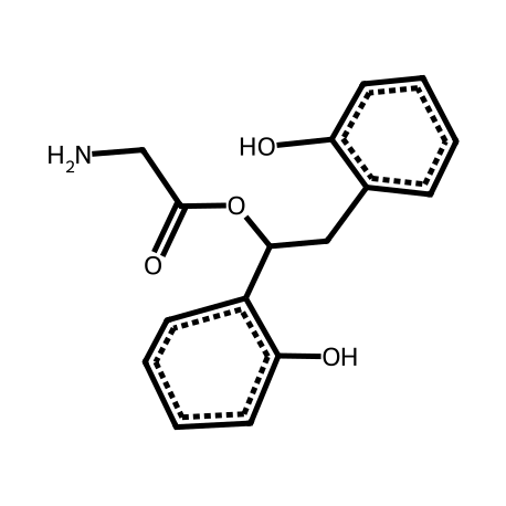 NCC(=O)OC(Cc1ccccc1O)c1ccccc1O